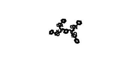 c1ccc([C@@H]2COC(CN(CC3=N[C@H](c4ccccc4)CO3)Cc3cccc(CN(CC4=N[C@H](c5ccccc5)CO4)CC4=N[C@H](c5ccccc5)CO4)c3)=N2)cc1